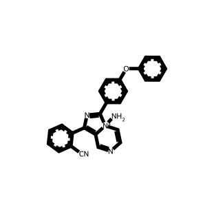 N#Cc1ccccc1C1=C2C=NC=C[N+]2(N)C(c2ccc(Oc3ccccc3)cc2)=N1